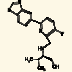 CC(C)[C@H](CO)NCc1nc(-c2ccc3scnc3c2)ccc1F